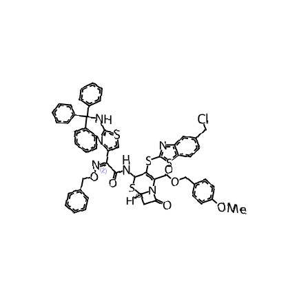 COc1ccc(COC(=O)C2=C(Sc3nc4cc(CCl)ccc4s3)C(NC(=O)/C(=N\OCc3ccccc3)c3csc(NC(c4ccccc4)(c4ccccc4)c4ccccc4)n3)S[C@H]3CC(=O)N23)cc1